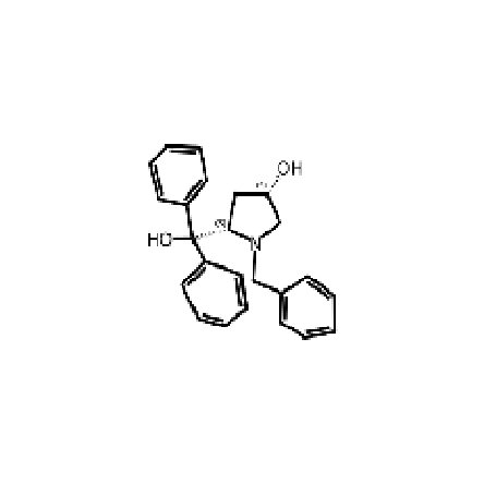 O[C@H]1C[C@@H](C(O)(c2ccccc2)c2ccccc2)N(Cc2ccccc2)C1